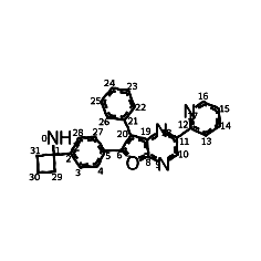 NC1(c2ccc(-c3oc4ncc(-c5ccccn5)nc4c3-c3ccccc3)cc2)CCC1